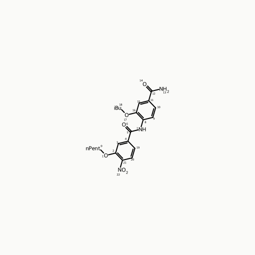 CCCCCOc1cc(C(=O)Nc2ccc(C(N)=O)cc2OC(C)CC)ccc1[N+](=O)[O-]